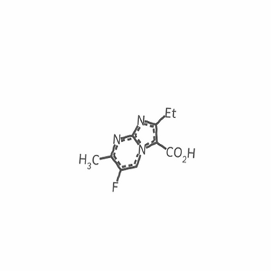 CCc1nc2nc(C)c(F)cn2c1C(=O)O